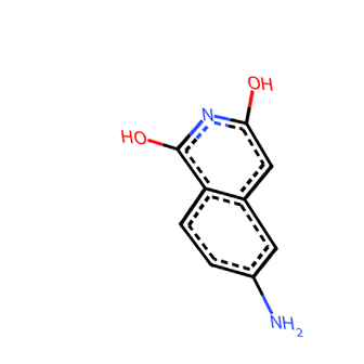 Nc1ccc2c(O)nc(O)cc2c1